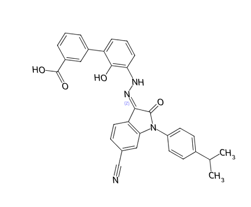 CC(C)c1ccc(N2C(=O)/C(=N\Nc3cccc(-c4cccc(C(=O)O)c4)c3O)c3ccc(C#N)cc32)cc1